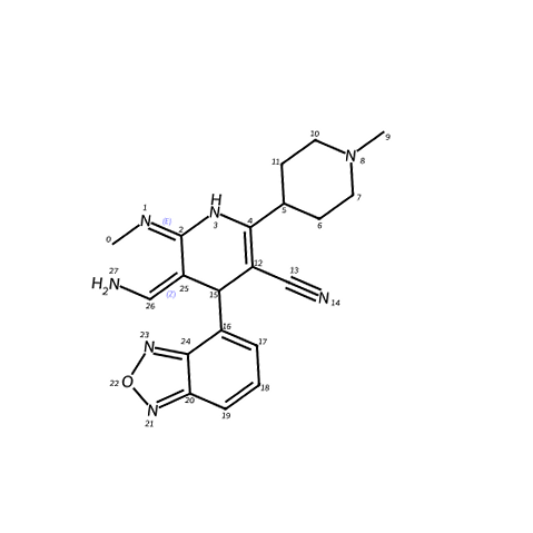 C/N=C1/NC(C2CCN(C)CC2)=C(C#N)C(c2cccc3nonc23)/C1=C/N